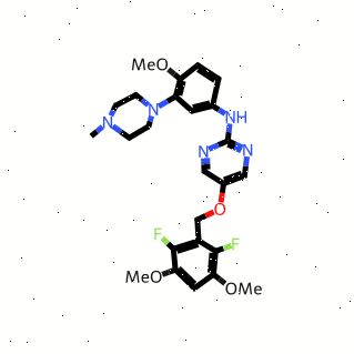 COc1ccc(Nc2ncc(OCc3c(F)c(OC)cc(OC)c3F)cn2)cc1N1CCN(C)CC1